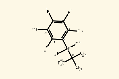 Fc1c(F)c(F)c([N+](F)(F)C(C(F)(F)F)(C(F)(F)F)C(F)(F)F)c(F)c1F